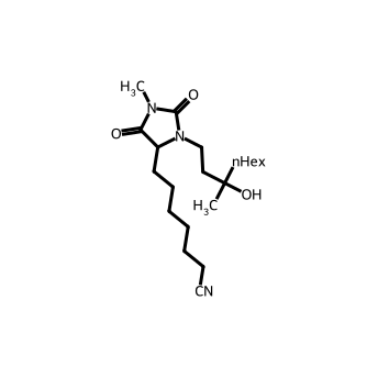 CCCCCCC(C)(O)CCN1C(=O)N(C)C(=O)C1CCCCCCC#N